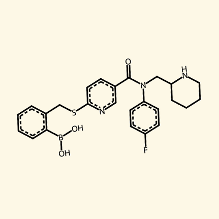 O=C(c1ccc(SCc2ccccc2B(O)O)nc1)N(CC1CCCCN1)c1ccc(F)cc1